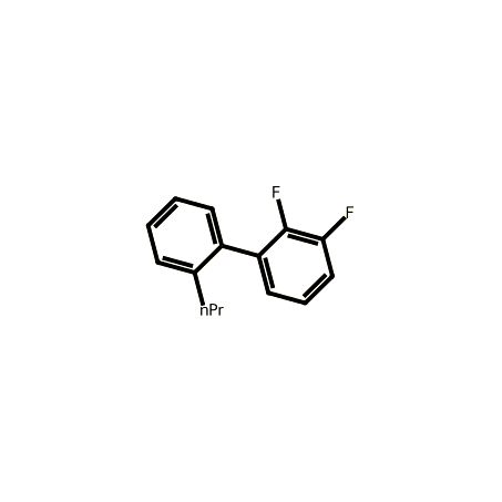 CCCc1ccccc1-c1cccc(F)c1F